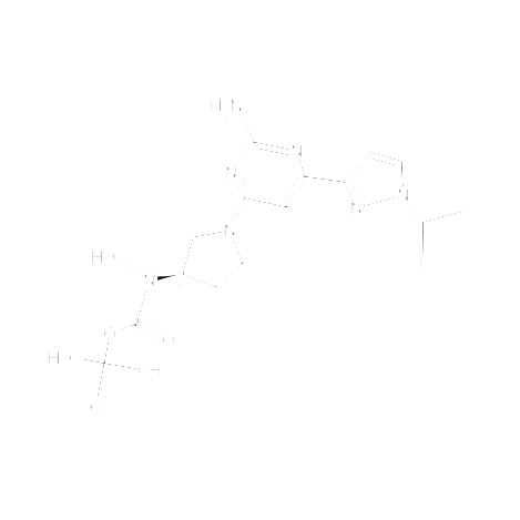 CN(C(=O)OC(C)(C)C)[C@@H]1CCN(c2cc(-c3ccn(C(F)F)n3)nc(N)n2)C1